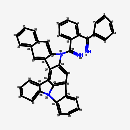 N=C(c1ccccc1)c1ccccc1C(=N)n1c2cc3ccccc3cc2c2c3c4ccccc4n4c5ccccc5c(cc21)c34